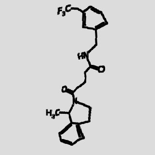 CC1c2ccccc2CCN1C(=O)CCC(=O)NCc1cccc(C(F)(F)F)c1